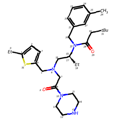 CCc1ccc(CN(CC(=O)N2CCNCC2)C[C@H](CC)N(Cc2cccc(C)c2)C(=O)CC(C)(C)C)s1